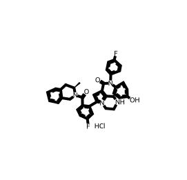 C[C@@H]1Cc2ccccc2CN1C(=O)c1ccc(F)cc1-c1cc(C(=O)N(c2ccc(O)cc2)c2ccc(F)cc2)c2n1CCNC2.Cl